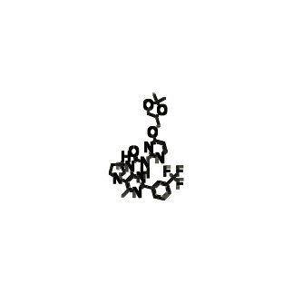 Cc1nc(-c2cccc(C(F)(F)F)c2)nc2c1N1CC[C@@H](C1)N2C(=O)Nc1nccc(OCC2COC(C)(C)O2)n1